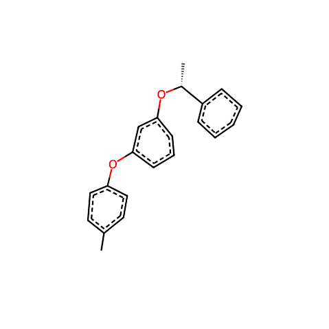 Cc1ccc(Oc2cccc(O[C@H](C)c3ccccc3)c2)cc1